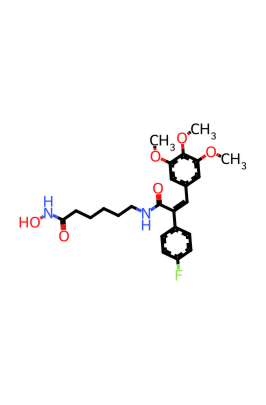 COc1cc(C=C(C(=O)NCCCCCC(=O)NO)c2ccc(F)cc2)cc(OC)c1OC